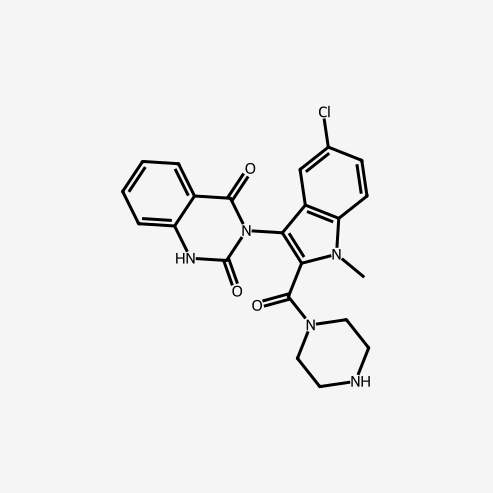 Cn1c(C(=O)N2CCNCC2)c(-n2c(=O)[nH]c3ccccc3c2=O)c2cc(Cl)ccc21